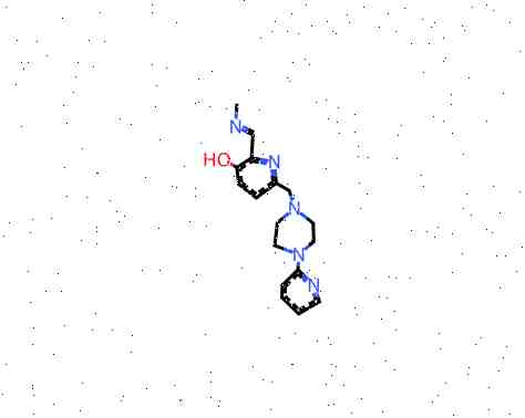 C/N=C/c1nc(CN2CCN(c3ccccn3)CC2)ccc1O